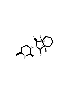 C=C1CC[C@H](N2C(=O)[C@H]3CCCC[C@H]3C2=O)C(=O)N1